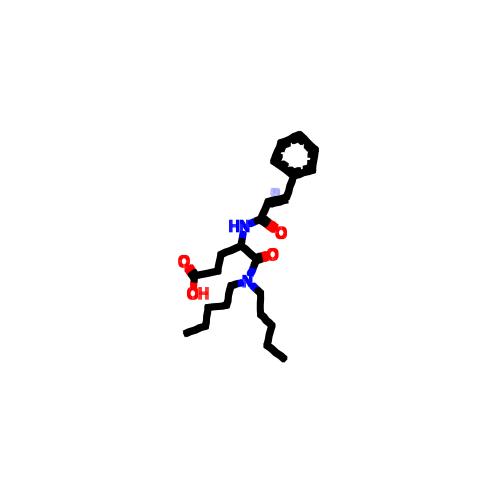 CCCCCN(CCCCC)C(=O)C(CCC(=O)O)NC(=O)/C=C/c1ccccc1